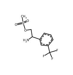 CS(=O)(=O)OCC(N)c1cccc(C(F)(F)F)c1